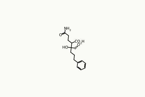 NC(=O)CCC(C(=O)O)C(O)(CCCc1ccccc1)P=O